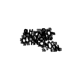 COc1cc(N2CCC3(CC2)CN(C)C3)c(C)cc1Nc1nc(Nc2ccc3ccccc3c2P(C)(C)=O)c2ccn(S(=O)(=O)c3ccc(C)cc3)c2n1